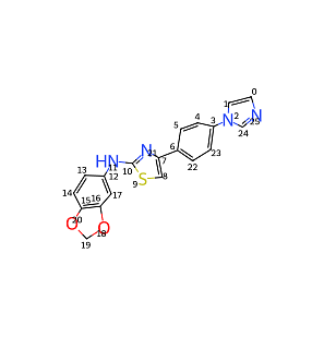 c1cn(-c2ccc(-c3csc(Nc4ccc5c(c4)OCO5)n3)cc2)cn1